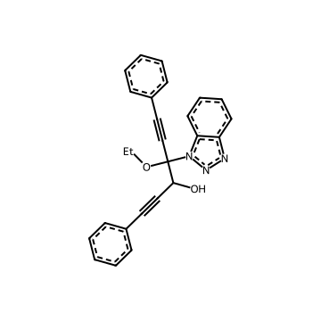 CCOC(C#Cc1ccccc1)(C(O)C#Cc1ccccc1)n1nnc2ccccc21